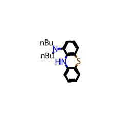 CCCCN(CCCC)c1cccc2c1Nc1ccccc1S2